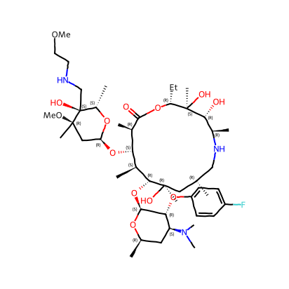 CC[C@H]1OC(=O)[C@H](C)[C@@H](O[C@H]2C[C@@](C)(OC)[C@](O)(CNCCOC)[C@H](C)O2)[C@H](C)[C@@H](O[C@@H]2O[C@H](C)C[C@H](N(C)C)[C@H]2Oc2ccc(F)cc2)[C@](C)(O)C[C@@H](C)CN[C@H](C)[C@@H](O)[C@]1(C)O